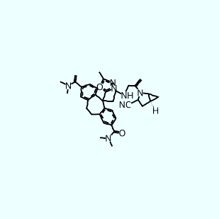 C=C(c1ccc2c(c1)CCc1cc(C(=O)N(C)C)ccc1C2(CCNCC(=C)N1C(C#N)C[C@@H]2CC21)c1nnc(C)o1)N(C)C